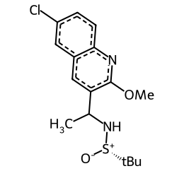 COc1nc2ccc(Cl)cc2cc1C(C)N[S@@+]([O-])C(C)(C)C